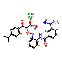 CC(C)c1ccc(C(=O)C(ONc2ccccc2NC(=O)c2cccc(C(=N)N)c2)C(=O)O)cc1.Cl.Cl